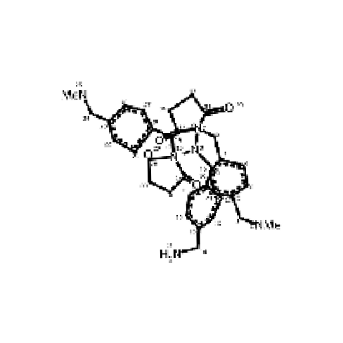 CNCc1ccc(C[N+]2(N(Cc3ccc(CN)cc3)[N+]3(Cc4ccc(CNC)cc4)C(=O)CCC3=O)C(=O)CCC2=O)cc1